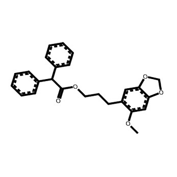 COc1cc2c(cc1CCCOC(=O)C(c1ccccc1)c1ccccc1)OCO2